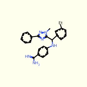 CCc1cccc(C(Nc2ccc(C(=N)N)cc2)c2nc(-c3ccccc3)nn2C)c1